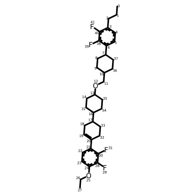 CCCc1ccc(C2CCC(COC3CCC(C4CC=C(c5ccc(OCC)c(F)c5F)CC4)CC3)CC2)c(F)c1F